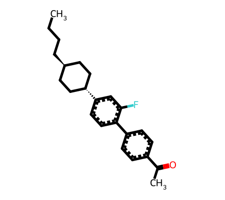 CCCC[C@H]1CC[C@H](c2ccc(-c3ccc(C(C)=O)cc3)c(F)c2)CC1